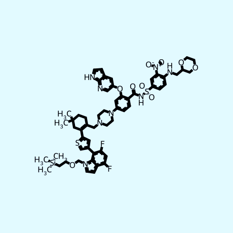 CC1(C)CCC(CN2CCN(c3ccc(C(=O)NS(=O)(=O)c4ccc(NCC5COCCO5)c([N+](=O)[O-])c4)c(Oc4cnc5[nH]ccc5c4)c3)CC2)=C(c2cc(-c3c(F)cc(F)c4ccn(COCC[Si](C)(C)C)c34)cs2)C1